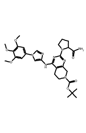 COc1cc(-n2cnc(Nc3nc(N4CCCC4C(N)=O)nc4c3CCN(C(=O)OC(C)(C)C)C4)c2)cc(OC)c1OC